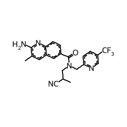 Cc1cc2cc(C(=O)N(Cc3ccc(C(F)(F)F)cn3)CC(C)C#N)ccc2nc1N